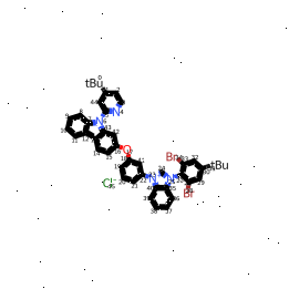 CC(C)(C)c1ccnc(-n2c3ccccc3c3ccc(Oc4cccc(-[n+]5cn(-c6c(Br)cc(C(C)(C)C)cc6Br)c6ccccc65)c4)cc32)c1.[Cl-]